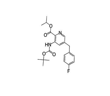 CC(C)OC(=O)c1ncc(Cc2ccc(F)cc2)cc1NC(=O)OC(C)(C)C